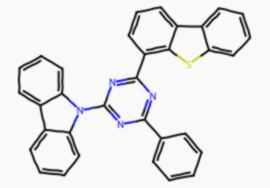 c1ccc(-c2nc(-c3cccc4c3sc3ccccc34)nc(-n3c4ccccc4c4ccccc43)n2)cc1